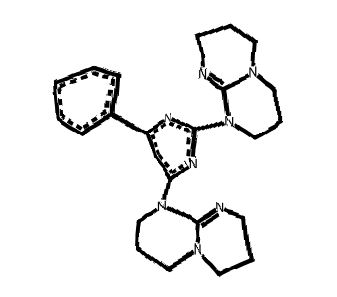 c1ccc(-c2cc(N3CCCN4CCCN=C43)nc(N3CCCN4CCCN=C43)n2)cc1